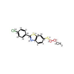 COOSc1ccc2nc(-c3ccc(Cl)cc3)sc2c1